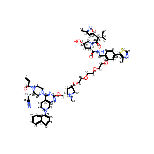 C=CC(=O)N1CCN(c2nc(OC[C@@H]3C[C@@H](OCCOCCOCCOc4cc(-c5scnc5C)ccc4CNC(=O)[C@@H]4C[C@@H](O)CN4C(=O)[C@H](c4cc(C)no4)C(C)C)CN3C)nc3c2CCN(c2cccc4ccccc24)C3)C[C@@H]1CC#N